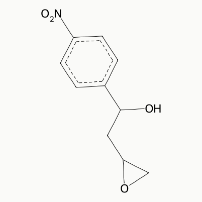 O=[N+]([O-])c1ccc(C(O)CC2CO2)cc1